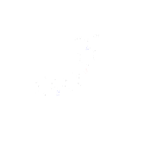 CC(C)N1CCC(Oc2ccc(Nc3ccccc3)cc2)CC1